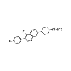 CCCCCC1CCC(c2ccc3c(F)c(-c4ccc(F)cc4)ccc3c2)CC1